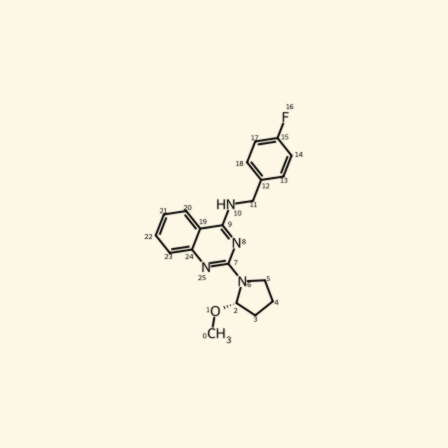 CO[C@H]1CCCN1c1nc(NCc2ccc(F)cc2)c2ccccc2n1